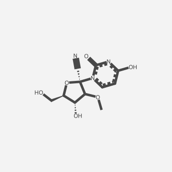 COC1[C@H](O)[C@@H](CO)O[C@@]1(C#N)n1ccc(O)nc1=O